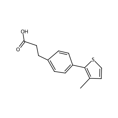 Cc1ccsc1-c1ccc(CCC(=O)O)cc1